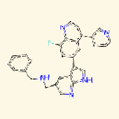 Fc1cc(-c2c[nH]c3ncc(CNCc4ccccc4)cc23)cc2c(-c3cccnc3)ccnc12